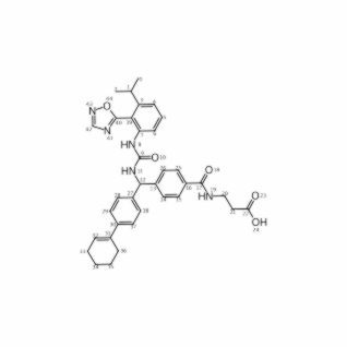 CC(C)c1cccc(NC(=O)NC(c2ccc(C(=O)NCCC(=O)O)cc2)c2ccc(C3=CCCCC3)cc2)c1-c1ncno1